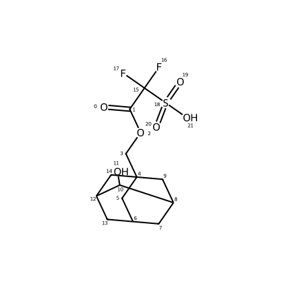 O=C(OCC12CC3CC(C1)C(O)C(C3)C2)C(F)(F)S(=O)(=O)O